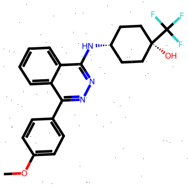 COc1ccc(-c2nnc(N[C@H]3CC[C@](O)(C(F)(F)F)CC3)c3ccccc23)cc1